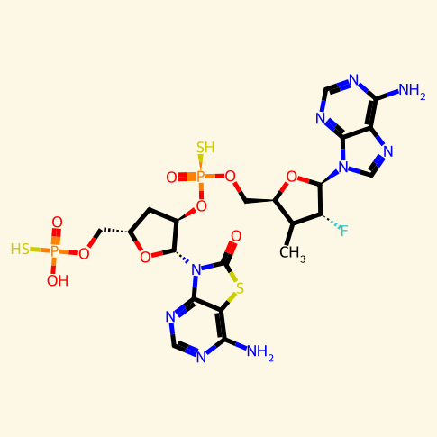 CC1[C@@H](F)[C@H](n2cnc3c(N)ncnc32)O[C@@H]1CO[P@](=O)(S)O[C@@H]1C[C@@H](COP(=O)(O)S)O[C@H]1n1c(=O)sc2c(N)ncnc21